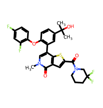 Cn1cc(-c2cc(C(C)(C)O)ccc2Oc2ccc(F)cc2F)c2sc(C(=O)N3CCCC(F)(F)C3)cc2c1=O